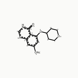 CC(=O)Oc1cc(OC2CCOCC2)c2c(=O)[nH]cnc2c1